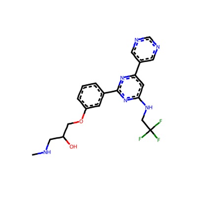 CNCC(O)COc1cccc(-c2nc(NCC(F)(F)F)cc(-c3cncnc3)n2)c1